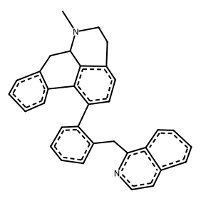 CN1CCc2ccc(-c3ccccc3Cc3nccc4ccccc34)c3c2C1Cc1ccccc1-3